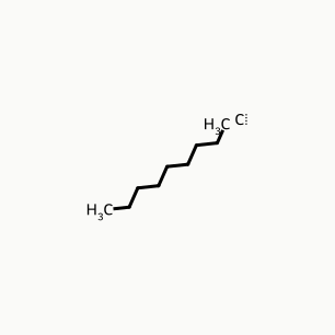 CCCCCCCCC.[C]